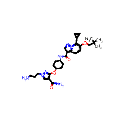 CC(C)(C)COc1ccc2c(C(=O)N[C@H]3CC[C@H](Oc4nn(CCCN)cc4C(N)=O)CC3)cnn2c1C1CC1